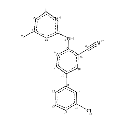 Cc1ccnc(Nc2ncc(-c3cccc(Cl)c3)cc2C#N)c1